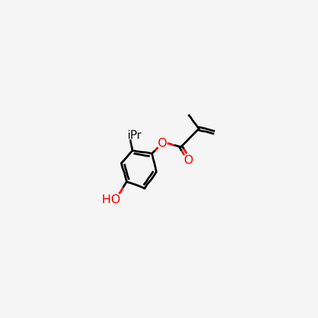 C=C(C)C(=O)Oc1ccc(O)cc1C(C)C